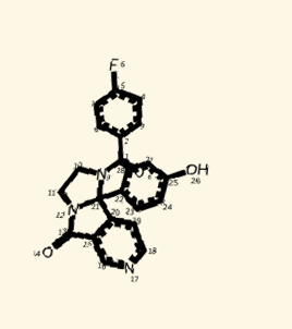 O=C(c1ccc(F)cc1)N1CCN2C(=O)c3cnccc3C12c1ccc(O)cc1